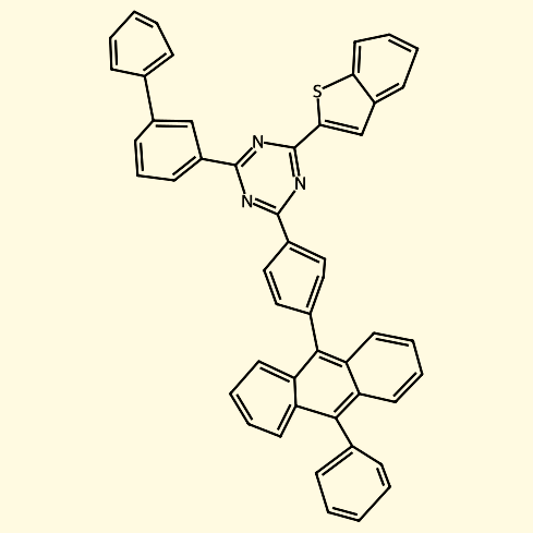 c1ccc(-c2cccc(-c3nc(-c4ccc(-c5c6ccccc6c(-c6ccccc6)c6ccccc56)cc4)nc(-c4cc5ccccc5s4)n3)c2)cc1